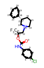 O=C(Nc1ccc(Cl)cc1)O[C@H](CN1CCC[C@@H](c2ccccc2)C1)C(F)(F)F